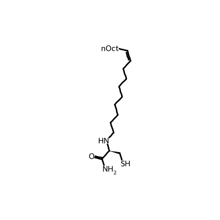 CCCCCCCC/C=C\CCCCCCCCN[C@@H](CS)C(N)=O